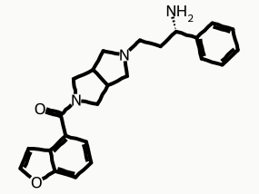 N[C@@H](CCN1CC2CN(C(=O)c3cccc4occc34)CC2C1)c1ccccc1